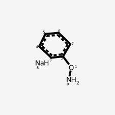 NOc1ccccc1.[NaH]